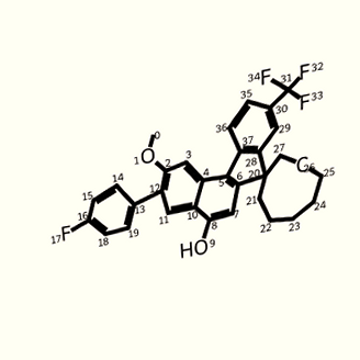 COc1cc2c3c(cc(O)c2cc1-c1ccc(F)cc1)C1(CCCCCCC1)c1cc(C(F)(F)F)ccc1-3